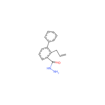 C=CCc1c(C(=O)NN)cccc1-c1ccccc1